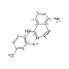 Cc1ccc(Nc2nccc3c(N)cccc23)c(F)c1